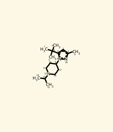 Cc1cc(C(C)(C)C)n(C2CCN(C(C)C)CC2)n1